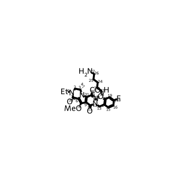 CCN1C[C@H](C)n2c(c(OC)c3c(=O)n(Cc4ccc(F)cc4OCCCCCN)nc(C(=O)O)c32)C1=O